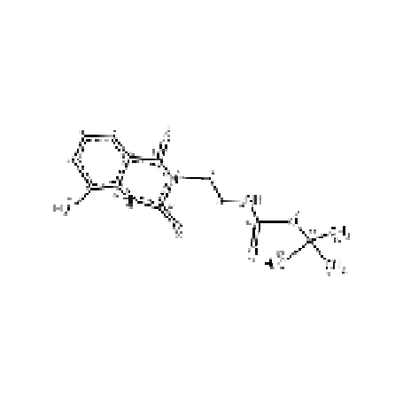 Cc1cccc2c(=O)n(CCNC(=O)OC(C)(C)C)c(=O)[nH]c12